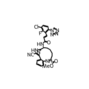 COC(=O)[C@H]1CCCC[C@H](NC(=O)/C=C/c2c(-n3cnnn3)ccc(Cl)c2F)c2nc(c(C#N)[nH]2)-c2ccccc2N1